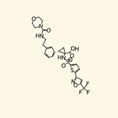 O=C(NCCc1cccc([C@@H]2C[C@]2(NS(=O)(=O)c2ccc(-c3cc(C(F)(F)F)on3)s2)C(=O)O)c1)N1CCOCC1